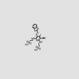 Cc1c(C#N)c(NCCS(=O)(=O)O)nc(NCCS(=O)(=O)O)c1N=Nc1nc2ccccc2s1